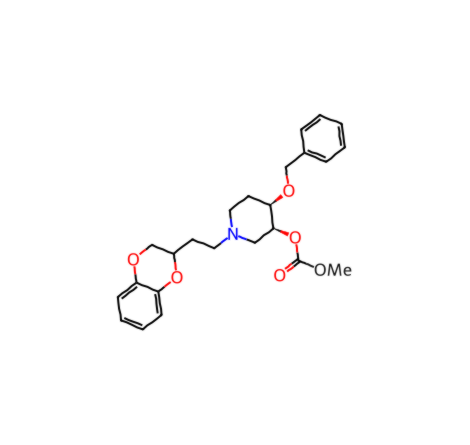 COC(=O)O[C@H]1CN(CCC2COc3ccccc3O2)CC[C@H]1OCc1ccccc1